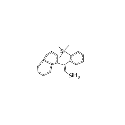 C[Si](C)(C)c1ccccc1C(=C[SiH3])c1cccc2ccccc12